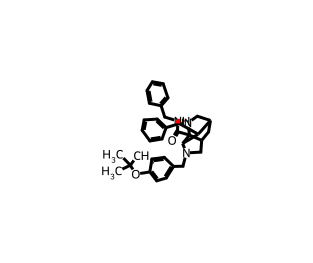 CC(C)(C)Oc1ccc(CN2CC3CC4CNC3(C(=O)NCc3ccccc3)C2C4Cc2ccccc2)cc1